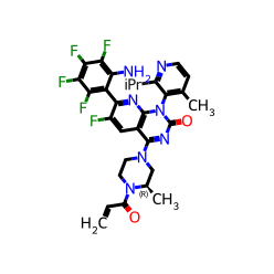 C=CC(=O)N1CCN(c2nc(=O)n(-c3c(C)ccnc3C(C)C)c3nc(-c4c(N)c(F)c(F)c(F)c4F)c(F)cc23)C[C@H]1C